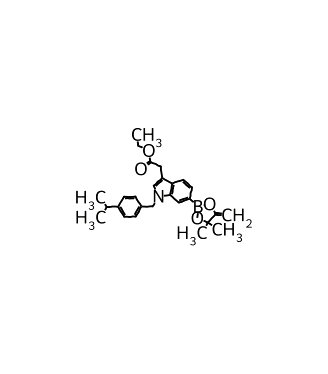 C=C1OB(c2ccc3c(CC(=O)OCC)cn(Cc4ccc(C(C)C)cc4)c3c2)OC1(C)C